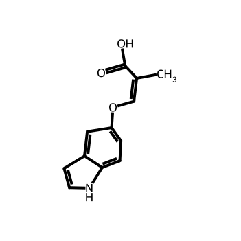 CC(=COc1ccc2[nH]ccc2c1)C(=O)O